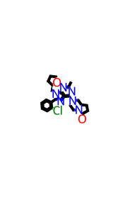 Cc1nc(N2CCN3C(=O)CCC3C2)c2nc(-c3ccccc3Cl)n(C[C@H]3CCCO3)c2n1